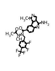 CC(=O)N(C)N(Cc1ccc(C(F)(F)F)c(F)c1F)C(=O)c1ccc2nc(N)c3cnn(C)c3c2c1